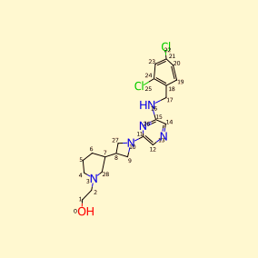 OCCN1CCCC(C2CN(c3cncc(NCc4ccc(Cl)cc4Cl)n3)C2)C1